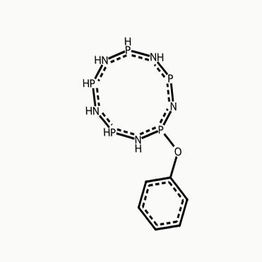 c1ccc(Op2np[nH][pH][nH][pH][nH][pH][nH]2)cc1